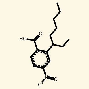 CCCCCC(CC)c1cc([N+](=O)[O-])ccc1C(=O)O